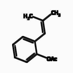 CC(=O)Oc1ccccc1C=C(C)C